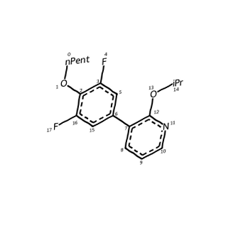 CCCCCOc1c(F)cc(-c2cccnc2OC(C)C)cc1F